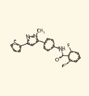 Cn1nc(-c2cccs2)cc1-c1ccc(NC(=O)c2c(F)cccc2F)cc1